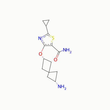 NC(=O)c1sc(C2CC2)nc1O[C@H]1CC2(C[C@@H](N)C2)C1